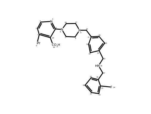 CC(C)c1ccnc(N2CCN(Cc3ccc(CNCc4ccccc4F)cc3)CC2)c1C(=O)O